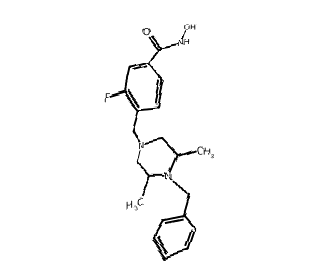 CC1CN(Cc2ccc(C(=O)NO)cc2F)CC(C)N1Cc1ccccc1